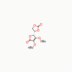 CCCCOC1=C(OCCCC)[C@@H](C2COC(=O)O2)OC1=O